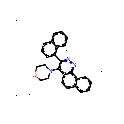 c1ccc2c(-c3nnc4c(ccc5ccccc54)c3N3CCOCC3)cccc2c1